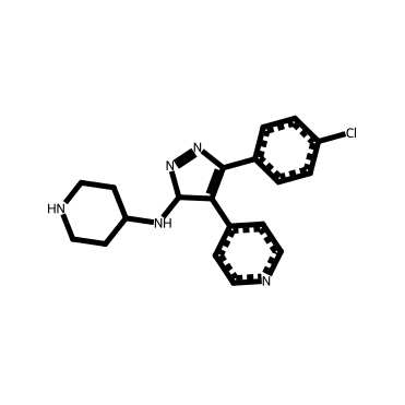 Clc1ccc(C2=C(c3ccncc3)C(NC3CCNCC3)N=N2)cc1